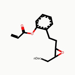 C=CC(=O)Oc1ccccc1CCC1OC1CCCCCCCCCCC